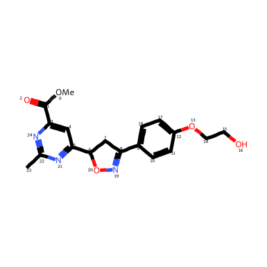 COC(=O)c1cc(C2CC(c3ccc(OCCO)cc3)=NO2)nc(C)n1